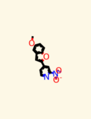 COc1ccc2oc(-c3ccnc([N+](=O)[O-])c3)cc2c1